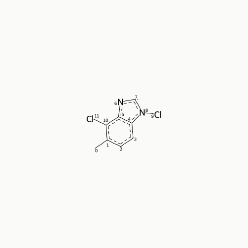 Cc1ccc2c(n[c]n2Cl)c1Cl